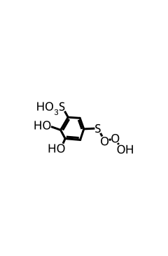 O=S(=O)(O)c1cc(SOOO)cc(O)c1O